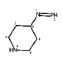 P=NC1CCNCC1